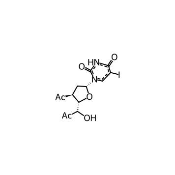 CC(=O)C(O)[C@H]1O[C@@H](n2cc(I)c(=O)[nH]c2=O)C[C@@H]1C(C)=O